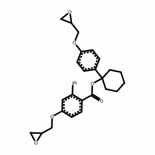 CC(C)c1cc(OCC2CO2)ccc1C(=O)OC1(c2ccc(OCC3CO3)cc2)CCCCC1